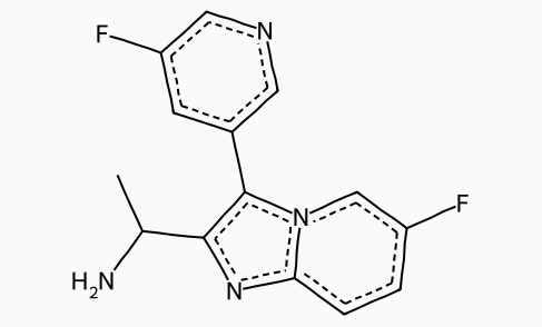 CC(N)c1nc2ccc(F)cn2c1-c1cncc(F)c1